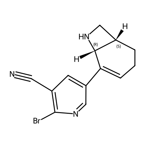 N#Cc1cc(C2=CCC[C@H]3CN[C@@H]23)cnc1Br